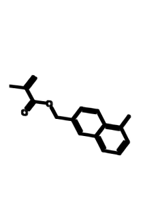 C=C(C)C(=O)OCc1ccc2c(C)cccc2c1